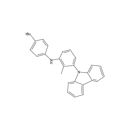 Cc1c(Nc2ccc(C(C)(C)C)cc2)cccc1-n1c2ccccc2c2ccccc21